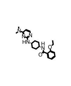 CCOc1ccccc1C(=O)N[C@H]1CC[C@@H](Nc2nccc(N(C)C)n2)CC1